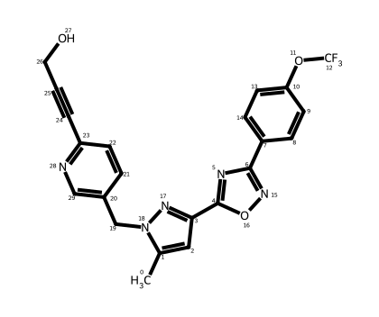 Cc1cc(-c2nc(-c3ccc(OC(F)(F)F)cc3)no2)nn1Cc1ccc(C#CCO)nc1